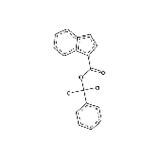 O=C(OC(Cl)(Cl)c1ccccc1)n1c[c]c2ccccc21